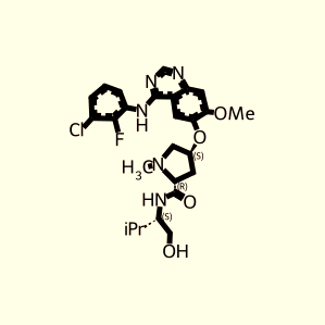 COc1cc2ncnc(Nc3cccc(Cl)c3F)c2cc1O[C@H]1C[C@H](C(=O)N[C@H](CO)C(C)C)N(C)C1